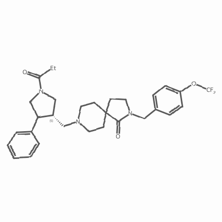 CCC(=O)N1CC(c2ccccc2)[C@@H](CN2CCC3(CC2)CCN(Cc2ccc(OC(F)(F)F)cc2)C3=O)C1